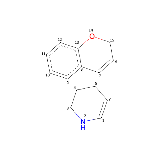 C1=CNCCC1.C1=Cc2ccccc2OC1